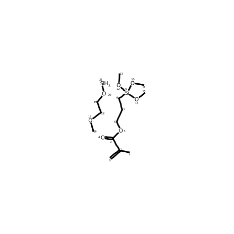 C=C(C)C(=O)OCCC[Si](OC)(OC)OC.COCCO[SiH3]